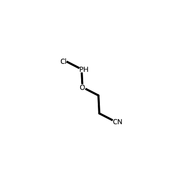 N#CCCOPCl